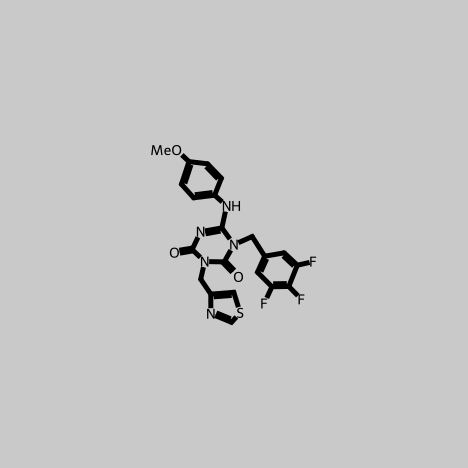 COc1ccc(Nc2nc(=O)n(Cc3cscn3)c(=O)n2Cc2cc(F)c(F)c(F)c2)cc1